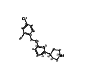 Fc1cc(Cl)cnc1COc1cccc(N2CCNCC2)n1